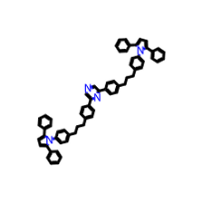 c1ccc(-c2ccc(-c3ccccc3)n2-c2ccc(CCCc3ccc(-c4cncc(-c5ccc(CCCc6ccc(-n7c(-c8ccccc8)ccc7-c7ccccc7)cc6)cc5)n4)cc3)cc2)cc1